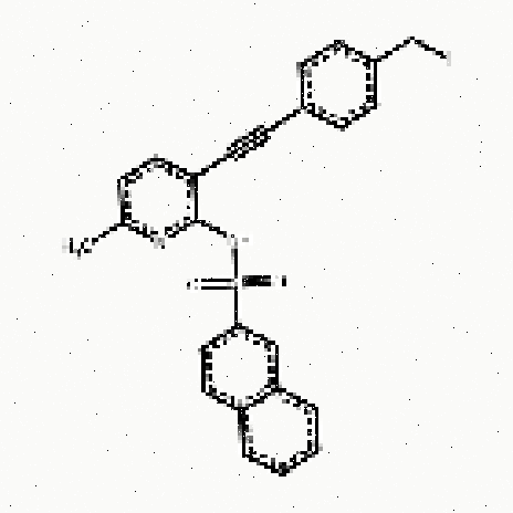 Cc1ccc(C#Cc2ccc(CI)cc2)c(NS(=O)(=O)c2ccc3ccccc3c2)n1